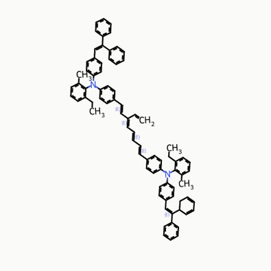 C=CC(/C=C/c1ccc(N(c2ccc(C=C(c3ccccc3)c3ccccc3)cc2)c2c(C)cccc2CC)cc1)=C\C=C\C=C\c1ccc(N(c2ccc(/C=C(/c3ccccc3)C3C=CC=CC3)cc2)c2c(C)cccc2CC)cc1